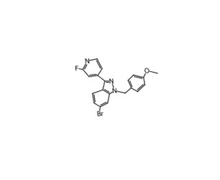 COc1ccc(Cn2nc(-c3ccnc(F)c3)c3ccc(Br)cc32)cc1